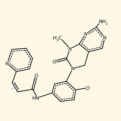 CN1C(=O)N(c2cc(NC(=O)/C=C\c3ccccn3)ccc2Cl)Cc2cnc(N)nc21